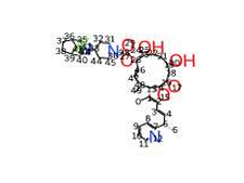 C/C(=C\C=C\[C@H](C)c1ccccn1)[C@H]1C(=O)C(=O)C[C@@H](O)CC[C@](C)(O)[C@@H](OC(=O)N2CCC(N3CC4CCC(C3)C4(F)F)CC2)/C=C/[C@@H]1C